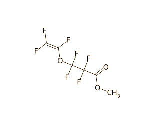 COC(=O)C(F)(F)C(F)(F)OC(F)=C(F)F